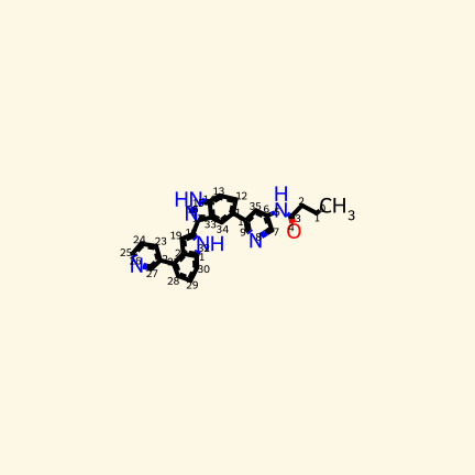 CCCC(=O)Nc1cncc(-c2ccc3[nH]nc(-c4cc5c(-c6cccnc6)cccc5[nH]4)c3c2)c1